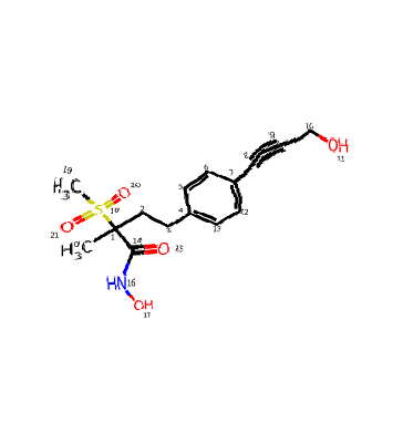 CC(CCc1ccc(C#CCO)cc1)(C(=O)NO)S(C)(=O)=O